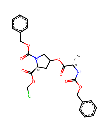 CC(C)[C@H](NC(=O)OCc1ccccc1)C(=O)OC1C[C@@H](C(=O)OCCl)N(C(=O)OCc2ccccc2)C1